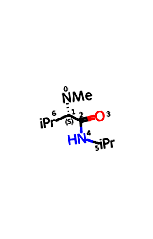 CN[C@H](C(=O)NC(C)C)C(C)C